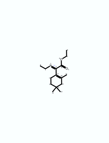 CC/N=C(/C(=O)OCC)C1=C(C)CC(C)(C)CC1